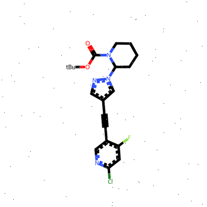 CC(C)(C)OC(=O)N1CCCCC1n1cc(C#Cc2cnc(Cl)cc2F)cn1